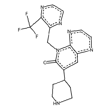 O=c1c(C2CCNCC2)cc2nccnc2n1Cc1nccnc1C(F)(F)F